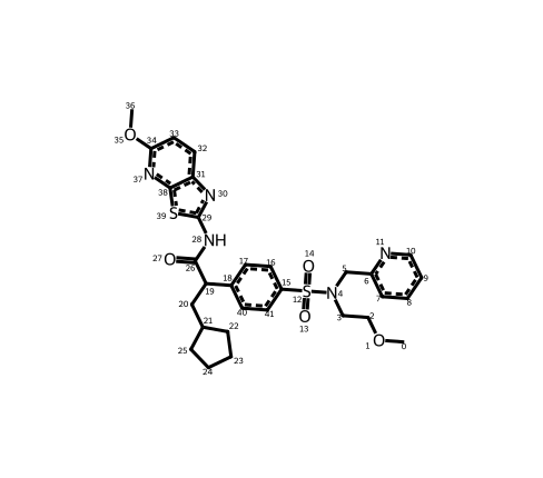 COCCN(Cc1ccccn1)S(=O)(=O)c1ccc(C(CC2CCCC2)C(=O)Nc2nc3ccc(OC)nc3s2)cc1